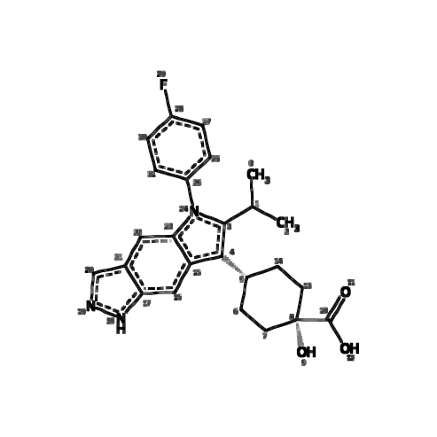 CC(C)c1c([C@H]2CC[C@](O)(C(=O)O)CC2)c2cc3[nH]ncc3cc2n1-c1ccc(F)cc1